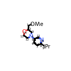 COCC1CN(c2ccc(C(C)C)nc2)CCO1